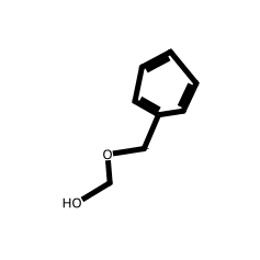 OCO[CH]c1ccccc1